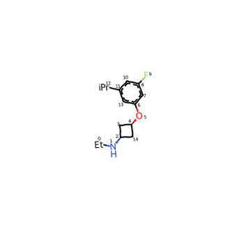 CCN[C@H]1C[C@@H](Oc2cc(F)cc(C(C)C)c2)C1